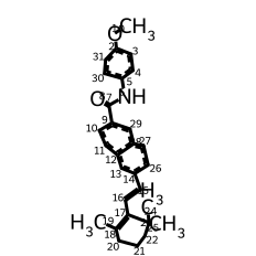 COc1ccc(NC(=O)c2ccc3cc(C=CC4=C(C)CCCC4(C)C)ccc3c2)cc1